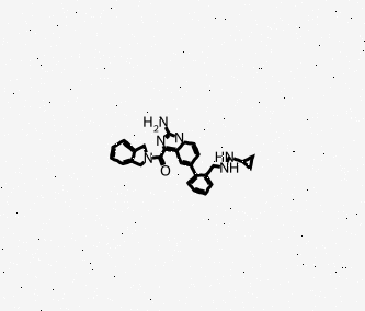 Nc1nc(C(=O)N2Cc3ccccc3C2)c2cc(-c3ccccc3CNNC3CC3)ccc2n1